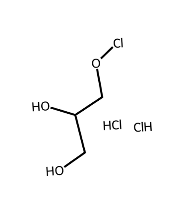 Cl.Cl.OCC(O)COCl